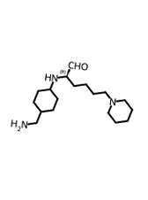 NCC1CCC(N[C@@H](C=O)CCCCN2CCCCC2)CC1